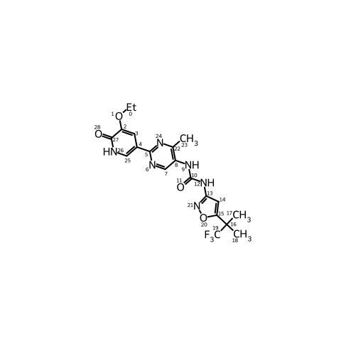 CCOc1cc(-c2ncc(NC(=O)Nc3cc(C(C)(C)C(F)(F)F)on3)c(C)n2)c[nH]c1=O